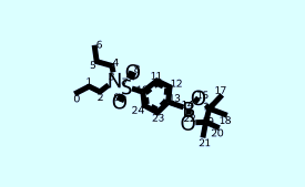 CCCN(CCC)S(=O)(=O)c1ccc(B2OC(C)(C)C(C)(C)O2)cc1